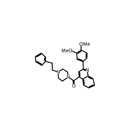 COc1ccc(-c2cc(C(=O)N3CCN(CCc4ccccc4)CC3)c3ccccc3n2)cc1OC